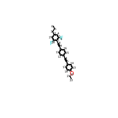 CCCc1cc(F)c(C#Cc2ccc(C#Cc3ccc(OCC)cc3)cc2)c(F)c1